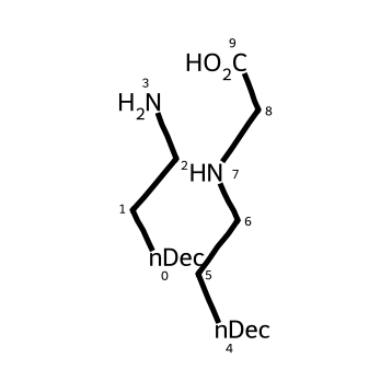 CCCCCCCCCCCCN.CCCCCCCCCCCCNCC(=O)O